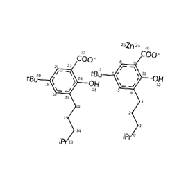 CC(C)CCCc1cc(C(C)(C)C)cc(C(=O)[O-])c1O.CC(C)CCCc1cc(C(C)(C)C)cc(C(=O)[O-])c1O.[Zn+2]